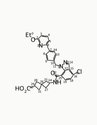 CCOc1cccc(-c2ccc(Cn3ncc4c(Cl)ccc(C(=O)NC5CC6(C5)CC(C(=O)O)C6)c43)cc2)n1